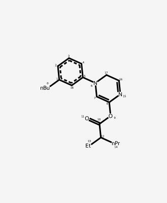 CCCCc1cccc(N2C=C(OC(=O)C(CC)CCC)N=CC2)c1